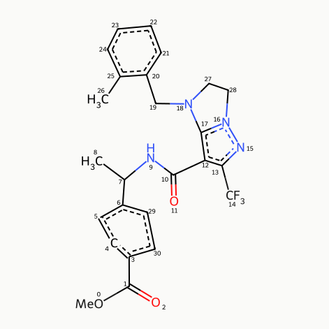 COC(=O)c1ccc(C(C)NC(=O)c2c(C(F)(F)F)nn3c2N(Cc2ccccc2C)CC3)cc1